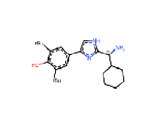 CC(C)(C)c1cc(-c2c[nH]c([C@@H](N)C3CCCCC3)n2)cc(C(C)(C)C)c1O